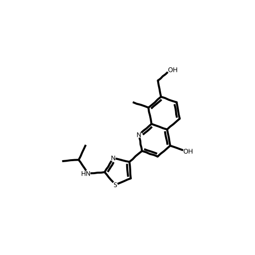 Cc1c(CO)ccc2c(O)cc(-c3csc(NC(C)C)n3)nc12